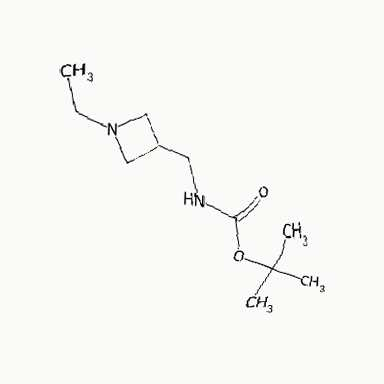 CCN1CC(CNC(=O)OC(C)(C)C)C1